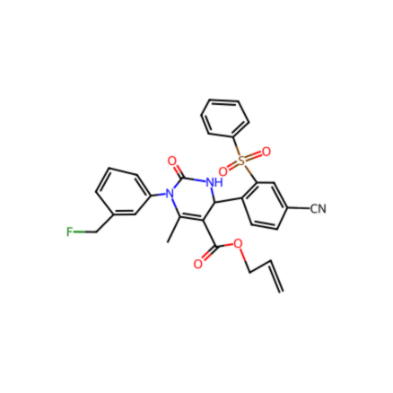 C=CCOC(=O)C1=C(C)N(c2cccc(CF)c2)C(=O)NC1c1ccc(C#N)cc1S(=O)(=O)c1ccccc1